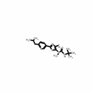 Cc1nc(-c2ccc(CC(C)C)nc2)sc1N(C)C(=O)NC(C)(C)C